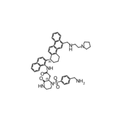 NCc1ccc(S(=O)(=O)N2CCNC(=O)[C@H]2CC(=O)Nc2c([C@@H]3CCCc4c3ccc3c4cc(CNCCN4CCCC4)c4ccccc43)ccc3ccccc23)cc1